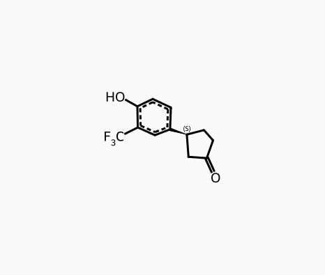 O=C1CC[C@H](c2ccc(O)c(C(F)(F)F)c2)C1